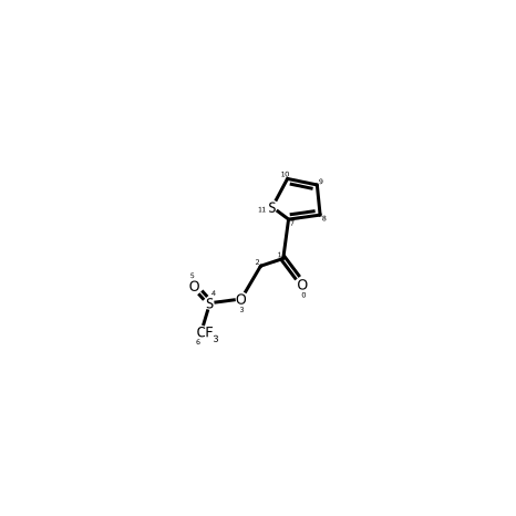 O=C(COS(=O)C(F)(F)F)c1cccs1